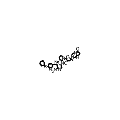 CC(C)(/C=C(/C#N)C(=O)N1CCC[C@@H](c2nc(-c3ccc(Oc4ccccc4)cc3)c3c(N)nccn23)C1)N1CCN2C(=O)CC[C@@H]2C1